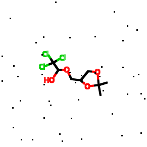 CC1(C)OCC(COC(O)C(Cl)(Cl)Cl)O1